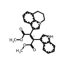 COC(=O)/C(=C(\C(=O)OC)c1cn2c3c(cccc13)CCC2)c1c[nH]c2ccccc12